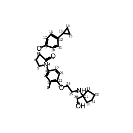 Cc1cc(N2CC[C@H](Oc3ccc(C4CC4)cc3)C2=O)ccc1OCCNC1(CO)CCCC1